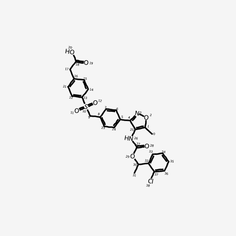 Cc1onc(-c2ccc(CS(=O)(=O)c3ccc(CC(=O)O)cc3)cc2)c1NC(=O)OC(C)c1ccccc1Cl